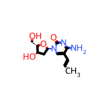 CC=Cc1cn([C@H]2C[C@@H](O)[C@H](CO)O2)c(=O)nc1N